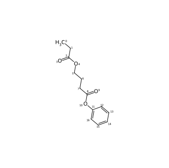 CCC(=O)OCCCC(=O)Oc1[c]cccc1